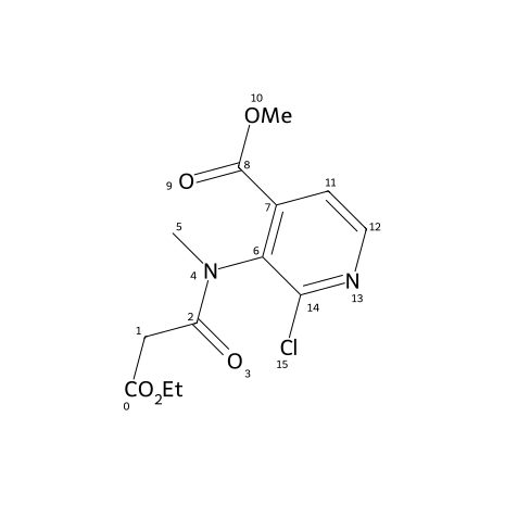 CCOC(=O)CC(=O)N(C)c1c(C(=O)OC)ccnc1Cl